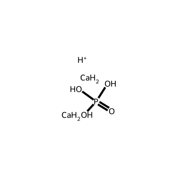 O=P(O)(O)O.[CaH2].[CaH2].[H+]